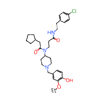 CCOc1cc(CN2CCC(N(CCC(=O)NCCc3ccc(Cl)cc3)C(=O)CC3CCCC3)CC2)ccc1O